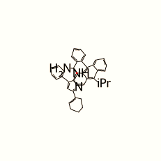 CC(C)c1c2ccccc2c(-c2ccccc2C(N)NC2N=C(C3=CCCCC3)C=C2c2ccccc2)c2ccccc12